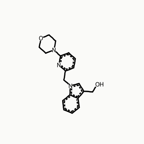 OCc1cn(Cc2cccc(N3CCOCC3)n2)c2ccccc12